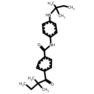 CCC(C)(C)Nc1ccc(NC(=O)c2ccc(C(=O)C(C)(C)CC)cc2)cc1